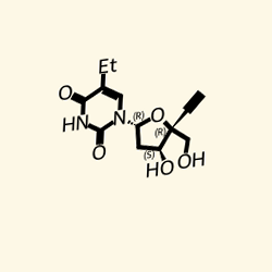 C#C[C@]1(CO)O[C@@H](n2cc(CC)c(=O)[nH]c2=O)C[C@@H]1O